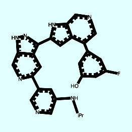 CC(C)Nc1cncc(-c2cc3c(-c4cc5c(-c6cc(O)cc(F)c6)cncc5[nH]4)n[nH]c3cn2)c1